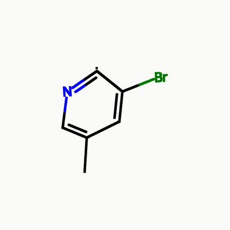 Cc1cn[c]c(Br)c1